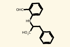 O=Cc1ccccc1NC(Cc1ccccc1)C(=O)O